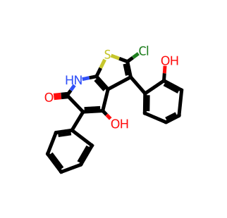 O=c1[nH]c2sc(Cl)c(-c3ccccc3O)c2c(O)c1-c1ccccc1